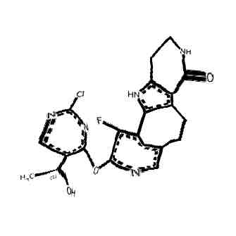 C[C@H](O)c1cnc(Cl)nc1Oc1ncc2c(c1F)-c1[nH]c3c(c1CC2)C(=O)NCC3